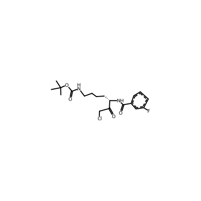 CC(C)(C)OC(=O)NCCCC[C@H](NC(=O)c1cccc(F)c1)C(=O)CCl